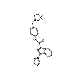 O=C(Nc1ccc(CN2CCC(F)(F)C2)cc1)c1nc(-n2ccnc2)c2ccccn12